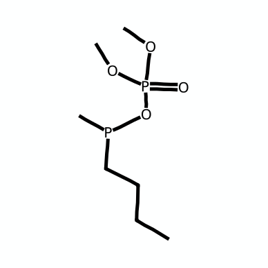 CCCCP(C)OP(=O)(OC)OC